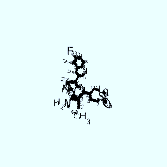 COCc1c(C2CCS(=O)(=O)CC2)nc2c(-c3cnc4ccc(F)cc4c3)cnn2c1N